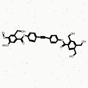 CCOc1cc(CO)c(C(=O)Oc2ccc(C#Cc3ccc(OC(=O)c4cc(CO)c(CO)cc4CO)cc3)cc2)cc1OC